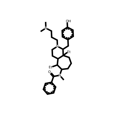 CCC1C(N(C)C(=O)c2ccccc2)CCCC2(CC)C1CCN(CCCN(C)C)C2Cc1ccc(O)cc1